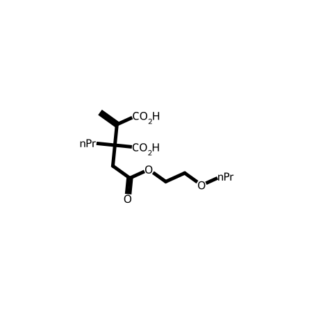 C=C(C(=O)O)C(CCC)(CC(=O)OCCOCCC)C(=O)O